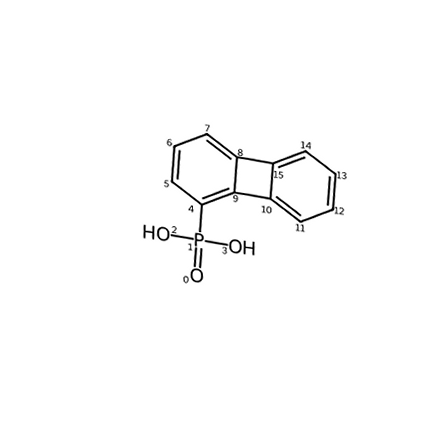 O=P(O)(O)c1cccc2c1-c1ccccc1-2